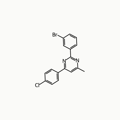 Cc1cc(-c2ccc(Cl)cc2)nc(-c2cccc(Br)c2)n1